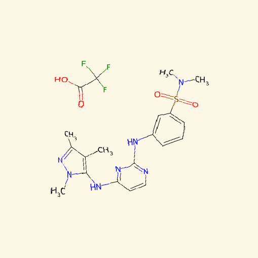 Cc1nn(C)c(Nc2ccnc(Nc3cccc(S(=O)(=O)N(C)C)c3)n2)c1C.O=C(O)C(F)(F)F